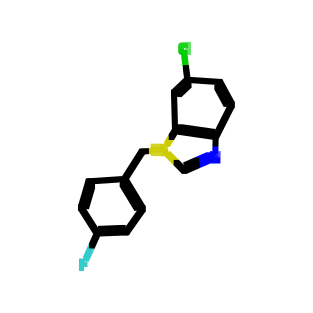 Fc1ccc(C[SH]2C=Nc3ccc(Cl)cc32)cc1